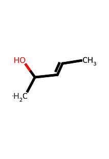 [CH2]C(O)C=CC